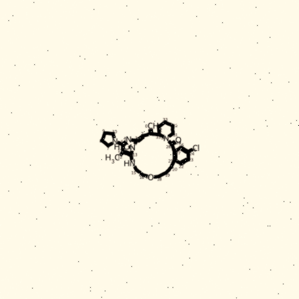 C=C1/C=C2/N=C(N3CCCC3)C(C)=C(NCCOCCCc3ccc(Cl)cc3C(=O)N3CCCCC13)N2C